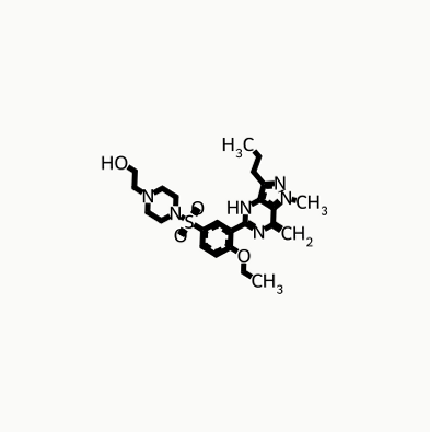 C=C1N=C(c2cc(S(=O)(=O)N3CCN(CCO)CC3)ccc2OCC)Nc2c(CCC)nn(C)c21